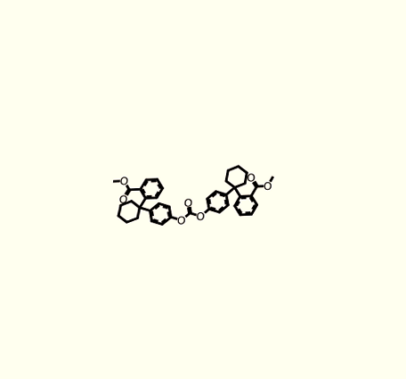 COC(=O)c1ccccc1C1(c2ccc(OC(=O)Oc3ccc(C4(c5ccccc5C(=O)OC)CCCCC4)cc3)cc2)CCCCC1